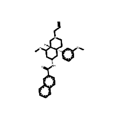 C=CCN1CC[C@@]2(c3cccc(OC)c3)C[C@H](NC(=O)c3ccc4ccccc4c3)CC(OC)[C@@H]2C1